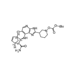 CC(C)(C)OC(=O)ON1CCCC(c2nc3c(N[C@H]4[C@@H](C(N)=O)[C@@H]5C=C[C@H]4C5)c(Cl)cnc3[nH]2)C1